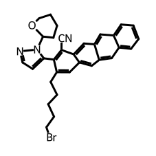 N#Cc1c(-c2ccnn2C2CCCCO2)c(CCCCCBr)cc2cc3cc4ccccc4cc3cc12